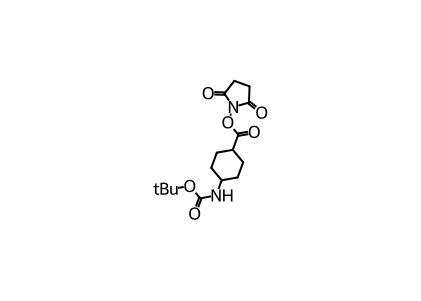 CC(C)(C)OC(=O)NC1CCC(C(=O)ON2C(=O)CCC2=O)CC1